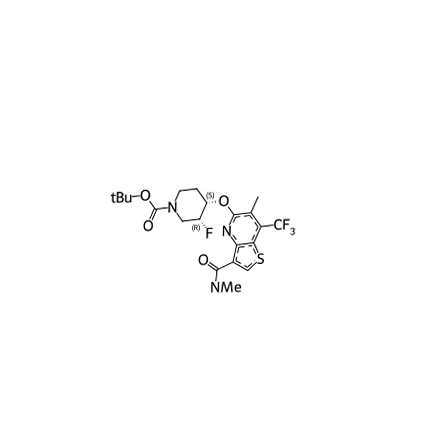 CNC(=O)c1csc2c(C(F)(F)F)c(C)c(O[C@H]3CCN(C(=O)OC(C)(C)C)C[C@H]3F)nc12